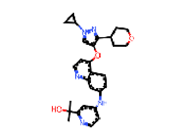 CC(C)(O)c1cc(Nc2ccc3c(Oc4cn(C5CC5)nc4C4CCOCC4)ccnc3c2)ccn1